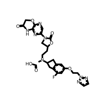 CN(CCC1CN(c2cnc3c(n2)NC(=O)CO3)C(=O)O1)C1Cc2cc(OCCn3nccn3)cc(F)c2C1.O=CO